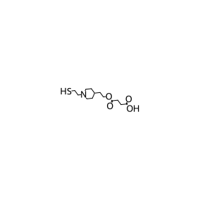 O=C(O)CCC(=O)OCCC1CCN(CCS)CC1